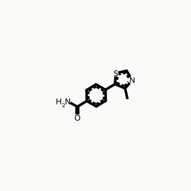 Cc1ncsc1-c1ccc(C(N)=O)cc1